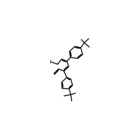 C=C/C(=C\C(=C/CI)c1ccc(C(C)(C)C)cc1)c1ccc(C(C)(C)C)cc1